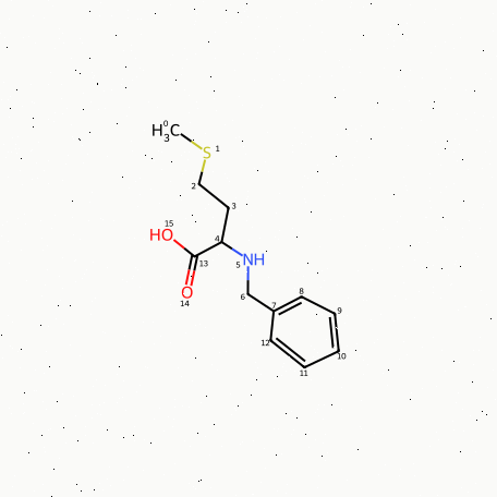 CSCCC(NCc1ccccc1)C(=O)O